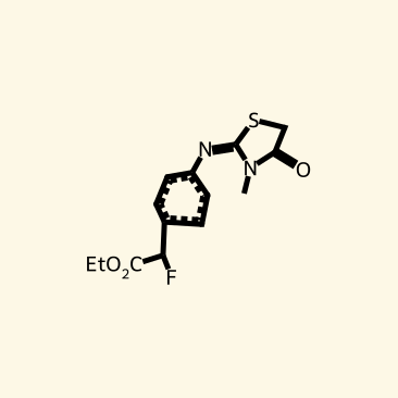 CCOC(=O)C(F)c1ccc(N=C2SCC(=O)N2C)cc1